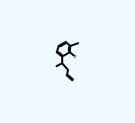 C=CC[C](C)c1cccc(C)c1F